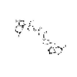 CCC(CC)(COC(=O)CC(=O)OCC(CC)(CC)c1c[nH]c2ccc(F)cc12)c1c[nH]c2ccc(F)cc12